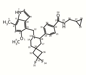 COc1cc(C)c2[nH]ccc2c1CN1CCC2(CC1c1ccc(C(=O)NCC3CC3)cc1)CC(F)(F)C2